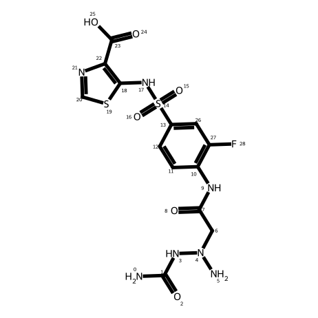 NC(=O)NN(N)CC(=O)Nc1ccc(S(=O)(=O)Nc2scnc2C(=O)O)cc1F